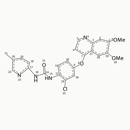 COc1cc2nccc(Oc3ccc(NC(=O)Nc4ccc(C)cn4)c(Cl)c3)c2cc1OC